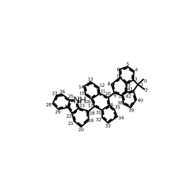 CC1(C)c2cccc3cc(-c4c5ccccc5c(-c5cccc6c5[nH]c5ccccc56)c5ccccc45)c4cccc1c4c23